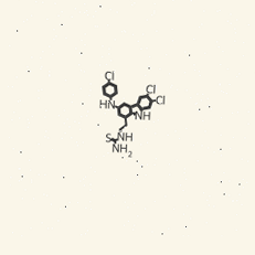 NC(=S)NCCc1cc(Nc2ccc(Cl)cc2)cc2c1[nH]c1cc(Cl)c(Cl)cc12